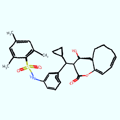 Cc1cc(C)c(S(=O)(=O)Nc2cccc(C(C3CC3)C3C(=O)OC4=CC=CCCCC4C3O)c2)c(C)c1